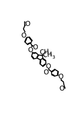 CC1(C)c2cc(OC(=O)c3ccc(OCCC4CO4)cc3)ccc2-c2ccc(OC(=O)c3ccc(OCCC4CO4)cc3)cc21